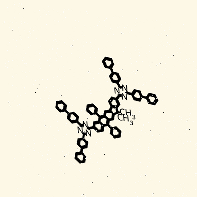 CC1(C)c2cc(-c3nc(-c4ccc(-c5ccccc5)cc4)nc(-c4ccc(-c5ccccc5)cc4)n3)ccc2-c2cc3c(-c4ccccc4)c4cc(-c5nc(-c6ccc(-c7ccccc7)cc6)nc(-c6ccc(-c7ccccc7)cc6)n5)ccc4c(-c4ccccc4)c3cc21